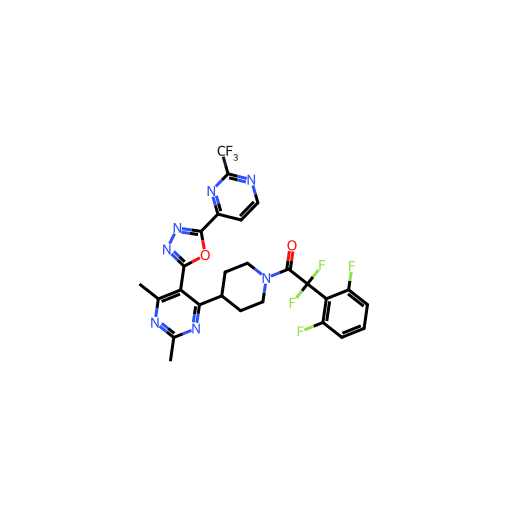 Cc1nc(C)c(-c2nnc(-c3ccnc(C(F)(F)F)n3)o2)c(C2CCN(C(=O)C(F)(F)c3c(F)cccc3F)CC2)n1